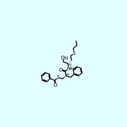 CCCSCC[C@@H](CO)NC(=O)[C@H](CSC(=O)c1ccccc1)Cc1ccccc1